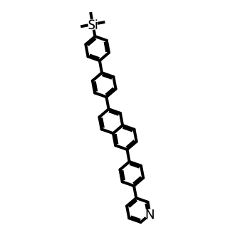 C[Si](C)(C)c1ccc(-c2ccc(-c3ccc4cc(-c5ccc(-c6cccnc6)cc5)ccc4c3)cc2)cc1